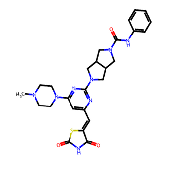 CN1CCN(c2cc(/C=C3\SC(=O)NC3=O)nc(N3CC4CN(C(=O)Nc5ccccc5)CC4C3)n2)CC1